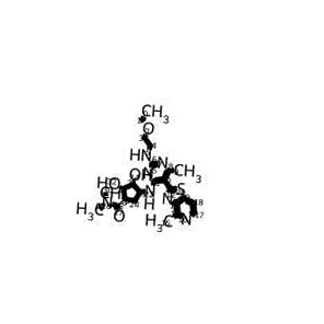 CCOCCNc1nc(C)c(-c2nc3c(C)nccc3s2)c(NC2C[C@H](C(=O)N(C)C)[C@@H](O)[C@H]2O)n1